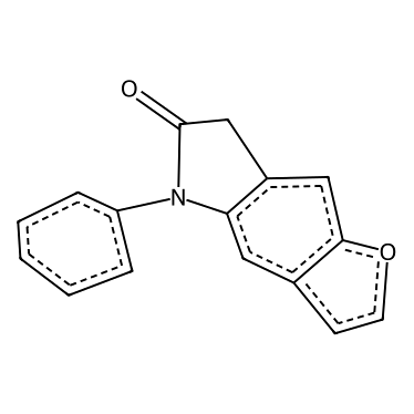 O=C1Cc2cc3occc3cc2N1c1ccccc1